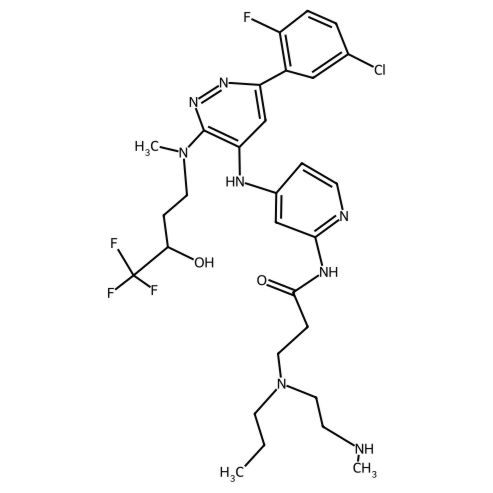 CCCN(CCNC)CCC(=O)Nc1cc(Nc2cc(-c3cc(Cl)ccc3F)nnc2N(C)CCC(O)C(F)(F)F)ccn1